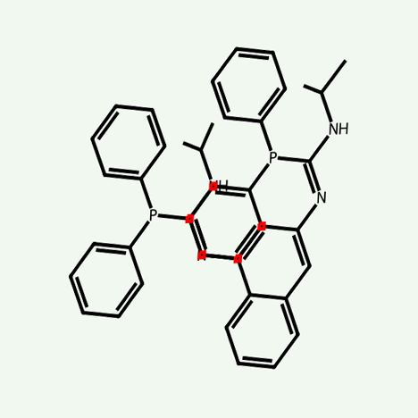 CC(C)N/C(=N/c1cc(/N=C(\NC(C)C)P(c2ccccc2)c2ccccc2)c2ccccc2c1)P(c1ccccc1)c1ccccc1